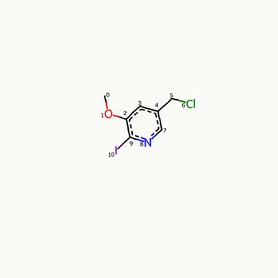 COc1cc(CCl)cnc1I